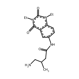 CCn1c(=O)c2cc(NC(=O)CC(C)CN)ccc2n(CC)c1=O